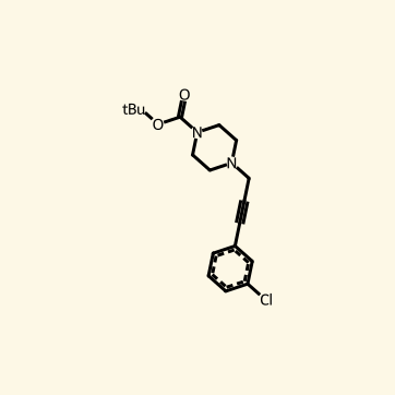 CC(C)(C)OC(=O)N1CCN(CC#Cc2cccc(Cl)c2)CC1